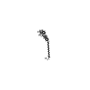 CCOCCCCCCCCCCCCOc1ccc(S(=O)(=O)C(CC)Oc2ccc(O)c(C(=O)O)c2)cc1